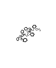 Cc1ccccc1OP(Oc1ccccc1C)Oc1ccccc1C.c1ccc(OP(Oc2ccccc2)Oc2ccccc2)cc1